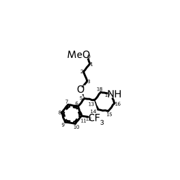 COCCCO[C@@H](c1ccccc1C(F)(F)F)[C@@H]1CCCNC1